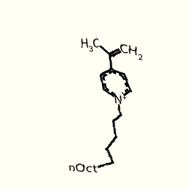 C=C(C)c1cc[n+](CCCCCCCCCCCCC)cc1